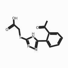 CC(=O)c1ccccc1-c1nnc(SCC(=O)O)[nH]1